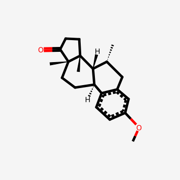 COc1ccc2c(c1)C[C@@H](C)[C@@H]1[C@@H]2CC[C@]2(C)C(=O)CC[C@]12C